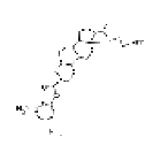 CC(C)CCCC(C)C1CCC2C3CCC4CC(C(=O)Oc5cc(N)cc(N)c5)CCC4(C)C3CCC12C